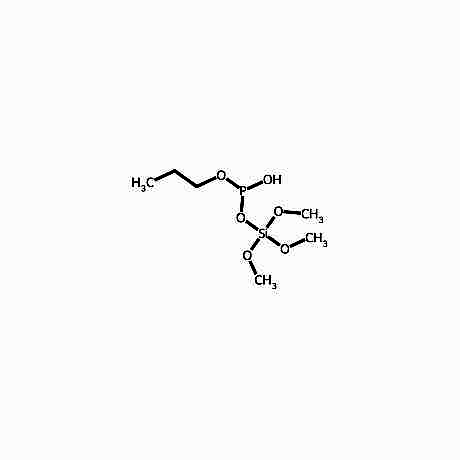 CCCOP(O)O[Si](OC)(OC)OC